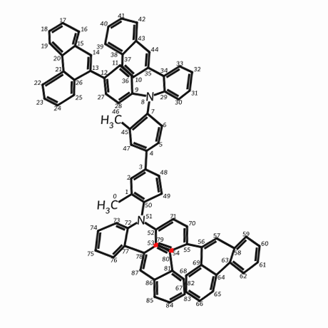 Cc1cc(-c2ccc(N(c3ccc(-c4cc5ccccc5c5ccccc45)cc3)c3ccccc3-c3ccc4ccccc4c3)c(C)c2)ccc1N(c1ccc(-c2cc3ccccc3c3ccccc23)cc1)c1ccccc1-c1ccc2ccccc2c1